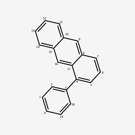 c1ccc(-c2cccc3cc4ccccc4cc23)cc1